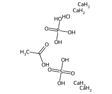 CC(=O)O.Cl.O=P(O)(O)O.O=S(=O)(O)O.[CaH2].[CaH2].[CaH2].[CaH2]